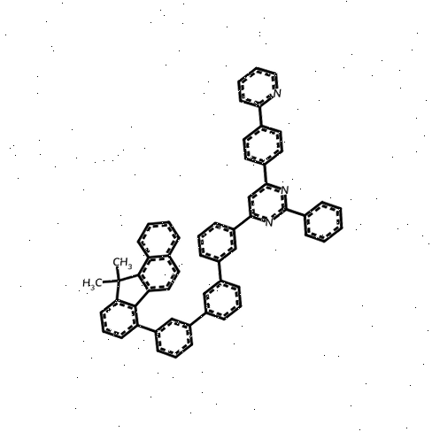 CC1(C)c2cccc(-c3cccc(-c4cccc(-c5cccc(-c6cc(-c7ccc(-c8ccccn8)cc7)nc(-c7ccccc7)n6)c5)c4)c3)c2-c2ccc3ccccc3c21